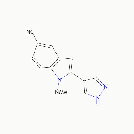 CNn1c(-c2cn[nH]c2)cc2cc(C#N)ccc21